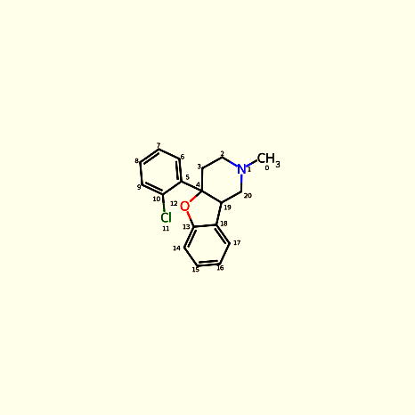 CN1CCC2(c3ccccc3Cl)Oc3ccccc3C2C1